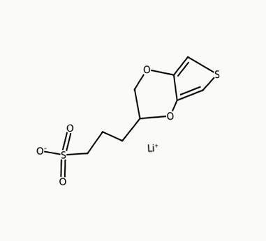 O=S(=O)([O-])CCCC1COc2cscc2O1.[Li+]